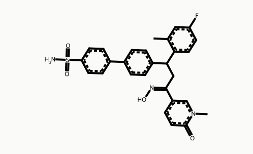 Cc1cc(F)ccc1C(CC(=NO)c1ccc(=O)n(C)c1)c1ccc(-c2ccc(S(N)(=O)=O)cc2)cc1